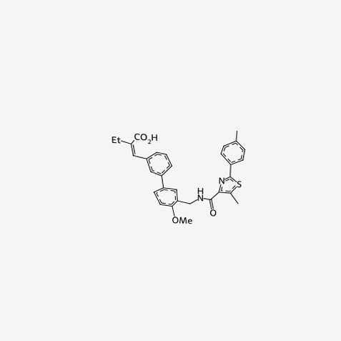 CCC(=Cc1cccc(-c2ccc(OC)c(CNC(=O)c3nc(-c4ccc(C)cc4)sc3C)c2)c1)C(=O)O